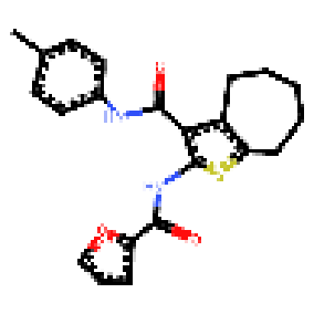 Cc1ccc(NC(=O)c2c(NC(=O)c3ccco3)sc3c2CCCCC3)cc1